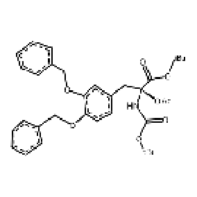 CCC(C)OC(=O)[C@@](Cc1ccc(OCc2ccccc2)c(OCc2ccccc2)c1)(NC(=O)OC(C)(C)C)OC(C)=O